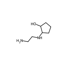 NCCNC1CCCC1O